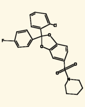 O=S(=O)(c1ccc2c(c1)OC(c1ccc(F)cc1)(c1ccccc1Cl)O2)N1CCCCC1